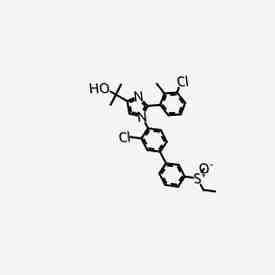 CC[S+]([O-])c1cccc(-c2ccc(-n3cc(C(C)(C)O)nc3-c3cccc(Cl)c3C)c(Cl)c2)c1